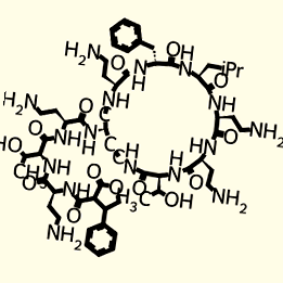 CC(C)C[C@@H]1NC(=O)[C@@H](Cc2ccccc2)NC(=O)[C@H](CCN)NC[C@@H](NC(=O)[C@H](CCN)NC(=O)[C@@H](NC(=O)[C@H](CCN)NC(=O)C2C(=O)OCC2c2ccccc2)C(C)O)CCNC(=O)[C@H](C(C)O)NC(=O)[C@H](CCN)NC(=O)[C@H](CCN)NC1=O